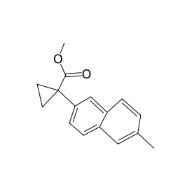 COC(=O)C1(c2ccc3cc(C)ccc3c2)CC1